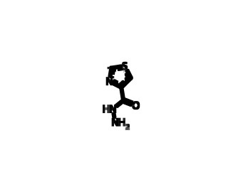 NNC(=O)c1cs[c]n1